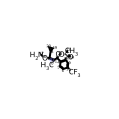 C/C(C(=O)c1ccc(C(F)(F)F)cc1S(C)(=O)=O)=C(\ON)C1CC1